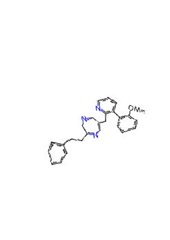 COc1ccccc1-c1cccnc1CC1=CN=C(CCc2ccccc2)CN=C1